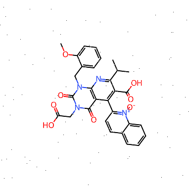 COc1ccccc1Cn1c(=O)n(CC(=O)O)c(=O)c2c(-c3ccc4ccccc4[n+]3[O-])c(C(=O)O)c(C(C)C)nc21